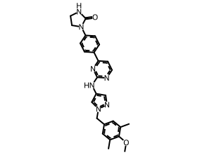 COc1c(C)cc(Cn2cc(Nc3nccc(-c4ccc(N5CCNC5=O)cc4)n3)cn2)cc1C